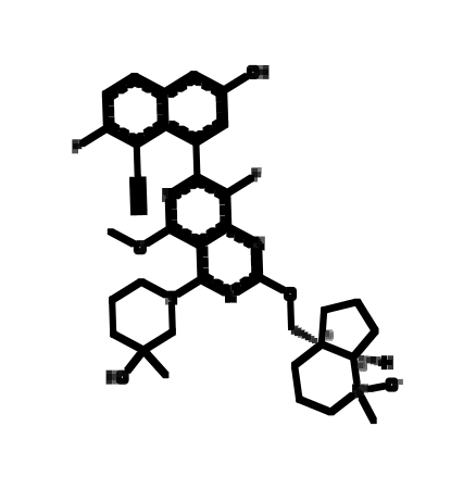 C#Cc1c(F)ccc2cc(O)cc(-c3nc(OC)c4c(N5CCCC(C)(O)C5)nc(OC[C@]56CCC[C@H]5[N+](C)([O-])CCC6)nc4c3F)c12